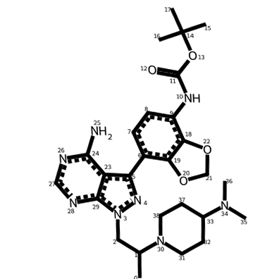 CC(Cn1nc(-c2ccc(NC(=O)OC(C)(C)C)c3c2OCO3)c2c(N)ncnc21)N1CCC(N(C)C)CC1